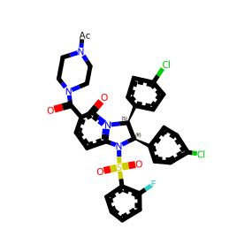 CC(=O)N1CCN(C(=O)c2ccc3n(c2=O)[C@@H](c2ccc(Cl)cc2)[C@@H](c2ccc(Cl)cc2)N3S(=O)(=O)c2ccccc2F)CC1